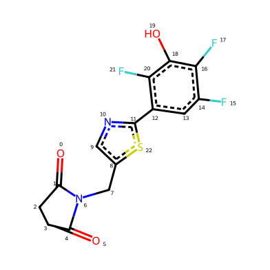 O=C1CCC(=O)N1Cc1cnc(-c2cc(F)c(F)c(O)c2F)s1